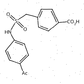 CC(=O)c1ccc(NS(=O)(=O)Cc2ccc(C(=O)O)cc2)cc1